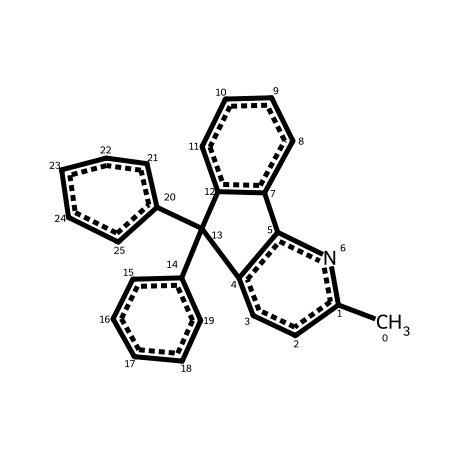 Cc1ccc2c(n1)-c1ccccc1C2(c1ccccc1)c1ccccc1